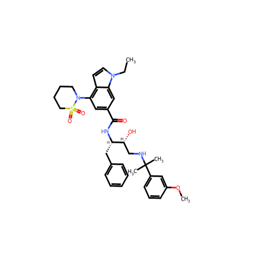 CCn1ccc2c(N3CCCCS3(=O)=O)cc(C(=O)N[C@@H](Cc3ccccc3)[C@H](O)CNC(C)(C)c3cccc(OC)c3)cc21